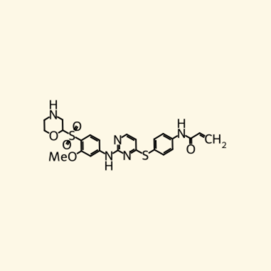 C=CC(=O)Nc1ccc(Sc2ccnc(Nc3ccc(S(=O)(=O)C4CNCCO4)c(OC)c3)n2)cc1